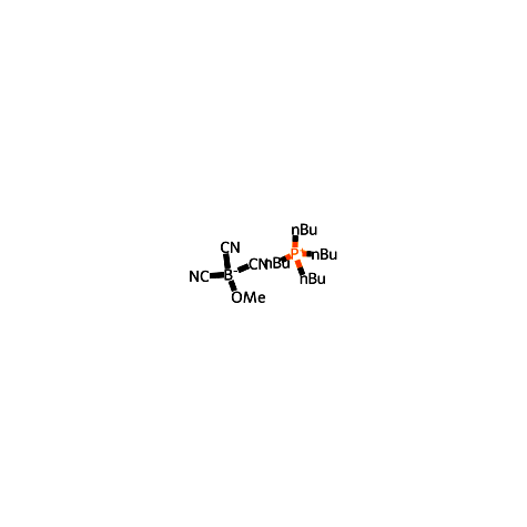 CCCC[P+](CCCC)(CCCC)CCCC.CO[B-](C#N)(C#N)C#N